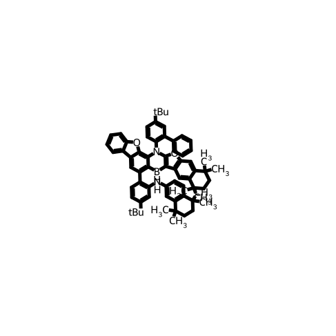 CC(C)(C)c1ccc(-c2cc3c(oc4ccccc43)c3c2Bc2c(oc4cc5c(cc24)C(C)(C)CCC5(C)C)N3c2ccc(C(C)(C)C)cc2-c2ccccc2)c(Nc2ccc3c(c2)C(C)(C)CCC3(C)C)c1